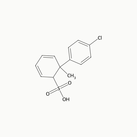 CC1(c2ccc(Cl)cc2)C=CC=CC1S(=O)(=O)O